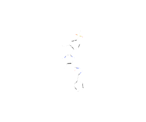 CC(C)S(=O)(=O)c1ccc(-c2cnc(N)c(-c3nnc(-c4ccccc4)o3)n2)c(C#N)c1